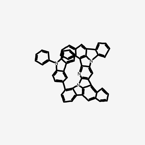 c1ccc(-n2c3ccccc3c3cc(-c4cccc5c6cc7ccccc7c7c8cc9c(nc8n(c45)c67)c4c5ccccc5cc5c6ccccc6n9c54)ccc32)cc1